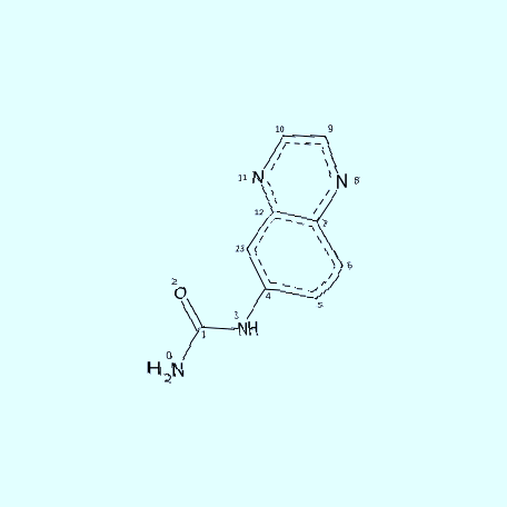 NC(=O)Nc1ccc2nccnc2c1